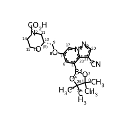 CC1(C)OB(c2cc(OC[C@H]3CN(C(=O)O)CCO3)cn3ncc(C#N)c23)OC1(C)C